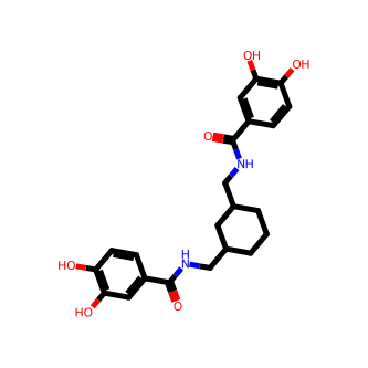 O=C(NCC1CCCC(CNC(=O)c2ccc(O)c(O)c2)C1)c1ccc(O)c(O)c1